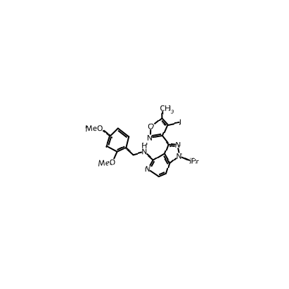 COc1ccc(CNc2nccc3c2c(-c2noc(C)c2I)nn3C(C)C)c(OC)c1